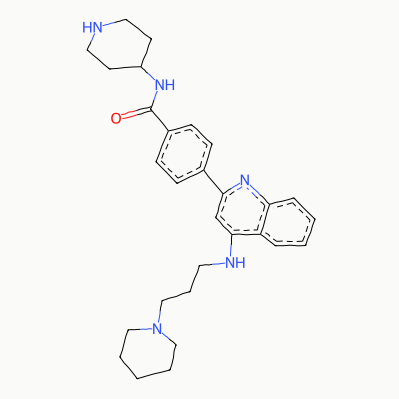 O=C(NC1CCNCC1)c1ccc(-c2cc(NCCCN3CCCCC3)c3ccccc3n2)cc1